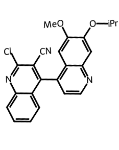 COc1cc2c(-c3c(C#N)c(Cl)nc4ccccc34)ccnc2cc1OC(C)C